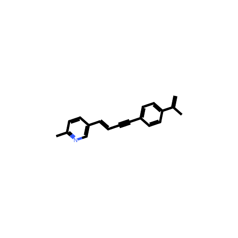 C=C(C)c1ccc(C#C/C=C/c2ccc(C)nc2)cc1